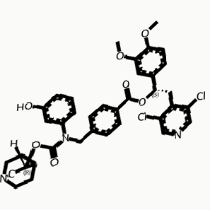 COc1ccc([C@H](Cc2c(Cl)cncc2Cl)OC(=O)c2ccc(CN(C(=O)O[C@H]3CN4CCC3CC4)c3cccc(O)c3)cc2)cc1OC